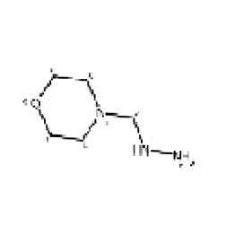 NNCN1CCOCC1